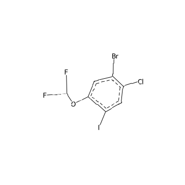 FC(F)Oc1cc(Br)c(Cl)cc1I